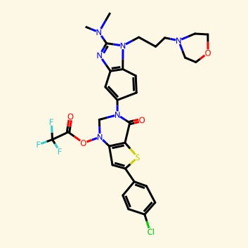 CN(C)c1nc2cc(N3CN(OC(=O)C(F)(F)F)c4cc(-c5ccc(Cl)cc5)sc4C3=O)ccc2n1CCCN1CCOCC1